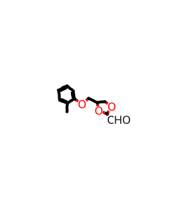 Cc1ccccc1OCC1COC(C=O)O1